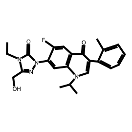 CCn1c(CO)nn(-c2cc3c(cc2F)c(=O)c(-c2ccccc2C)cn3C(C)C)c1=O